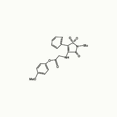 COc1ccc(OC(=O)CNC2=C(c3ccccc3)S(=O)(=O)N(C(C)(C)C)C2=O)cc1